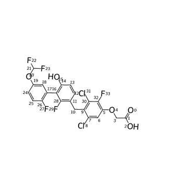 O=C(O)COc1cc(Cl)c(Cc2ccc(O)c(-c3cc(OC(F)F)ccc3F)c2F)c(Cl)c1F